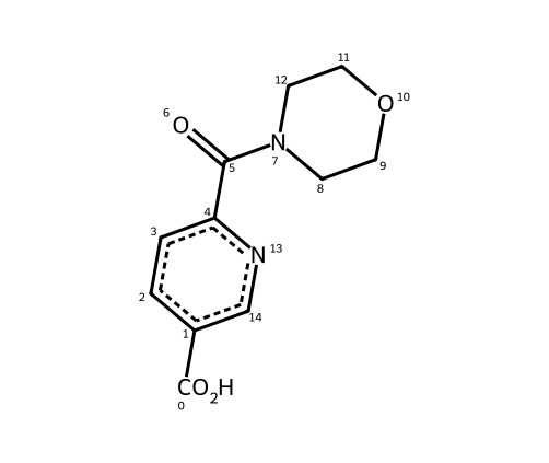 O=C(O)c1ccc(C(=O)N2CCOCC2)nc1